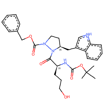 CC(C)(C)OC(=O)N[C@@H](CCCO)C(=O)N1[C@H](Cc2c[nH]c3ccccc23)CCN1C(=O)OCc1ccccc1